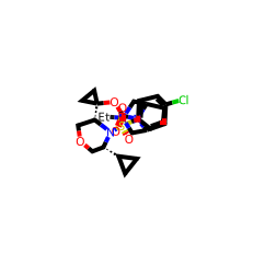 CCN1CC2CCC(C1)N2C(=O)OC1([C@H]2COC[C@@H](C3CC3)N2S(=O)(=O)c2ccc(Cl)cc2)CC1